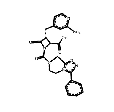 Nc1cc(C[C@H]2C(=O)N(C(=O)N3CCn4c(nnc4-c4ccccc4)C3)[C@@H]2C(=O)O)ccn1